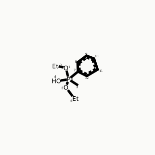 CCOP(C)(O)(OCC)c1ccccc1